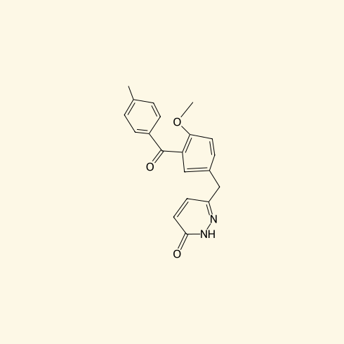 COc1ccc(Cc2ccc(=O)[nH]n2)cc1C(=O)c1ccc(C)cc1